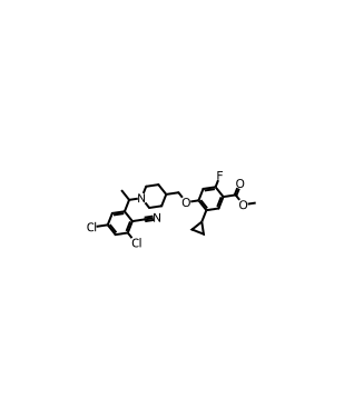 COC(=O)c1cc(C2CC2)c(OCC2CCN(C(C)c3cc(Cl)cc(Cl)c3C#N)CC2)cc1F